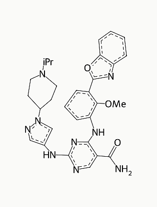 COc1c(Nc2nc(Nc3cnn(C4CCN(C(C)C)CC4)c3)ncc2C(N)=O)cccc1-c1nc2ccccc2o1